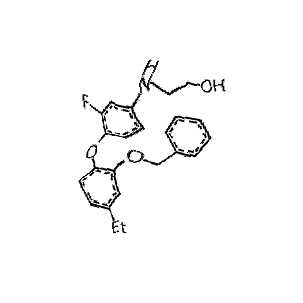 CCc1ccc(Oc2ccc(NCCO)cc2F)c(OCc2ccccc2)c1